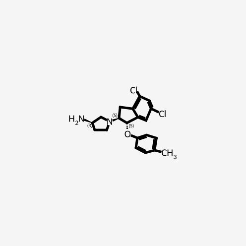 Cc1ccc(O[C@H]2c3cc(Cl)cc(Cl)c3C[C@@H]2N2CC[C@@H](N)C2)cc1